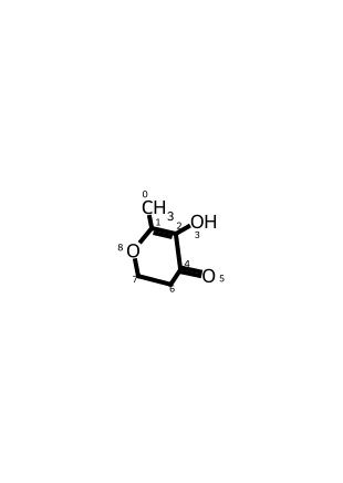 CC1=C(O)C(=O)CCO1